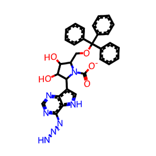 N=[N+]=Nc1ncnc2c(C3C(O)C(O)C(COC(c4ccccc4)(c4ccccc4)c4ccccc4)N3C(=O)[O-])c[nH]c12